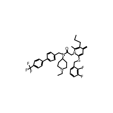 C=C1C=C(SCc2cccc(F)c2F)N(CC(=O)N(Cc2ccc(-c3ccc(C(F)(F)F)cc3)cc2)C2CCN(CC)CC2)C(C)=C1CCC